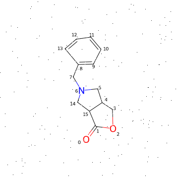 O=C1OCC2CN(Cc3ccccc3)CC12